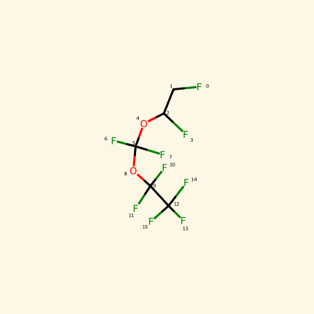 FCC(F)OC(F)(F)OC(F)(F)C(F)(F)F